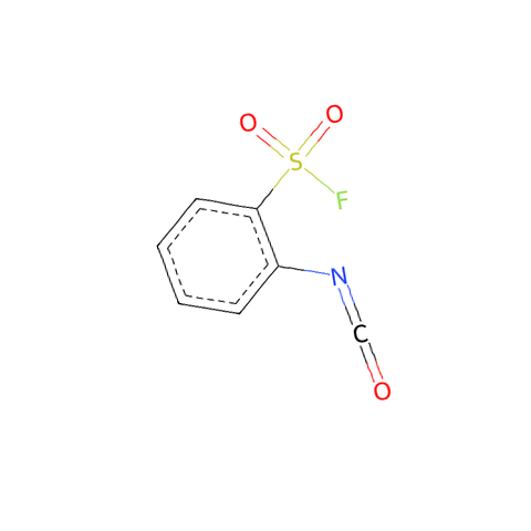 O=C=Nc1ccccc1S(=O)(=O)F